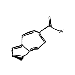 O=C(O)c1ccc2cccc-2cc1